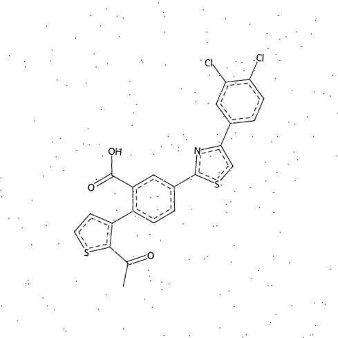 CC(=O)c1sccc1-c1ccc(-c2nc(-c3ccc(Cl)c(Cl)c3)cs2)cc1C(=O)O